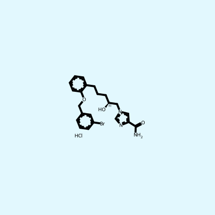 Cl.NC(=O)c1cn(C[C@@H](O)CCCc2ccccc2OCc2cccc(Br)c2)cn1